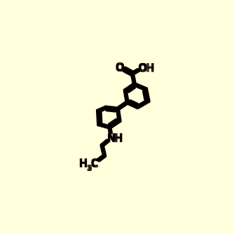 CCCNc1cccc(-c2cccc(C(=O)O)c2)c1